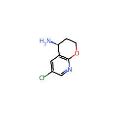 N[C@H]1CCOc2ncc(Cl)cc21